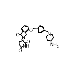 NC1CCN(Cc2ccc(COc3cccc4c3CN([C@H]3CCC(=O)NC3=O)C4=O)cc2)CC1